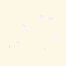 COc1ccc(-c2c[nH]c3ncc(-c4cn(C5CCN(C)CC5)nc4OC)cc23)cn1